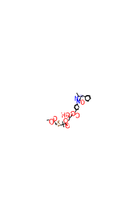 CCOC(=O)CSCC(C)(C)C(=O)OCC(O)COC(=O)c1ccc(N2N=C(C)/C(=C/c3ccccc3)C2=O)cc1